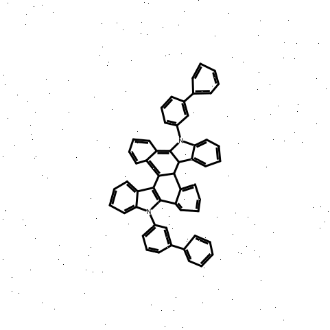 c1ccc(-c2cccc(N3C4=c5ccccc5=C5c6c(n(-c7cccc(-c8ccccc8)c7)c7ccccc67)-c6ccccc6C5C4c4ccccc43)c2)cc1